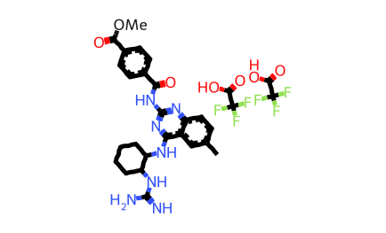 COC(=O)c1ccc(C(=O)Nc2nc(NC3CCCCC3NC(=N)N)c3cc(C)ccc3n2)cc1.O=C(O)C(F)(F)F.O=C(O)C(F)(F)F